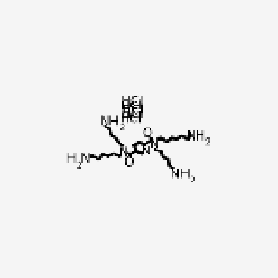 Cl.Cl.Cl.Cl.Cl.NCCCCCCN(CCCCCCN)C(=O)c1ccc(C(=O)N(CCCCCCN)CCCCCCN)nc1